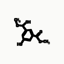 COC(=O)c1cc(O)cc(C(O)OC)c1